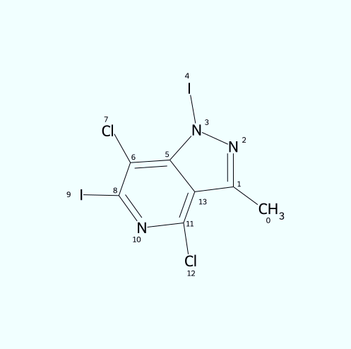 Cc1nn(I)c2c(Cl)c(I)nc(Cl)c12